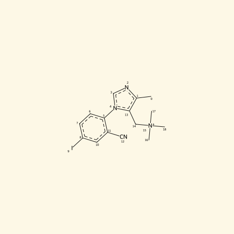 Cc1ncn(-c2ccc(I)cc2C#N)c1C[N+](C)(C)C